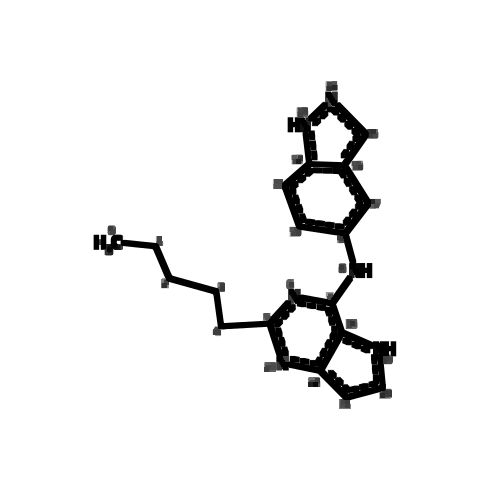 CCCCCc1nc(Nc2ccc3[nH]ncc3c2)c2[nH]ccc2n1